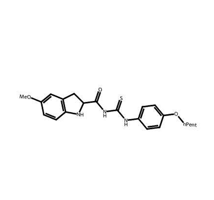 CCCCCOc1ccc(NC(=S)NC(=O)C2Cc3cc(OC)ccc3N2)cc1